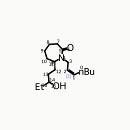 CCCC/C=C\CN1C(=O)CCCC[C@@H]1CCC(O)CC